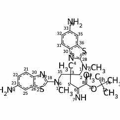 CN(CC(C)(CC(=N)C(=O)OC(C)(C)C)CN(C)c1nc2ccc(N)cc2s1)c1nc2ccc(N)cc2s1